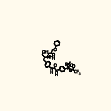 CS(=O)(=O)N(OC(=O)C(F)(F)F)c1ccc(NC(=O)Nc2ccc(C[C@@H](CO)NC[C@H](O)COc3ccccc3)cc2)cc1